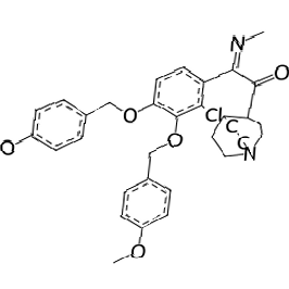 C/N=C(\C(=O)C1CCN2CCC1CC2)c1ccc(OCc2ccc(OC)cc2)c(OCc2ccc(OC)cc2)c1Cl